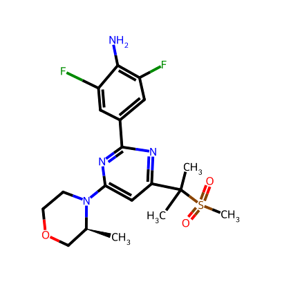 C[C@H]1COCCN1c1cc(C(C)(C)S(C)(=O)=O)nc(-c2cc(F)c(N)c(F)c2)n1